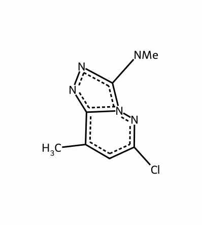 CNc1nnc2c(C)cc(Cl)nn12